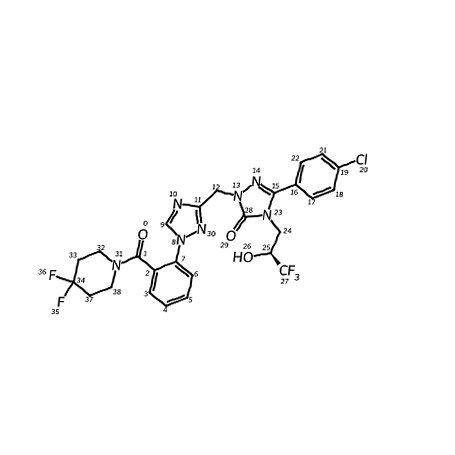 O=C(c1ccccc1-n1cnc(Cn2nc(-c3ccc(Cl)cc3)n(C[C@H](O)C(F)(F)F)c2=O)n1)N1CCC(F)(F)CC1